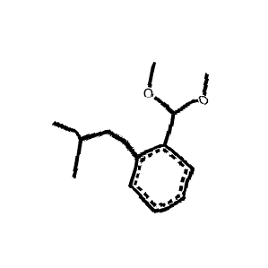 COC(OC)c1ccccc1CC(C)C